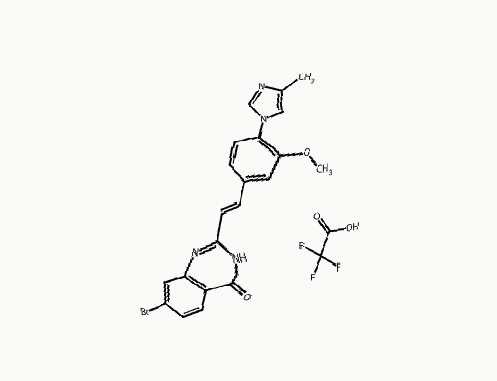 COc1cc(C=Cc2nc3cc(Br)ccc3c(=O)[nH]2)ccc1-n1cnc(C)c1.O=C(O)C(F)(F)F